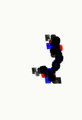 CC1=C(C(=O)NCCCN2CCN(CCN3CCN(CCCNC(=O)C4=C(C)N(c5cccc(C(F)(F)F)c5)C(=O)N[C@@H]4c4ccc(C#N)cc4)CC3)CC2)[C@@H](c2ccc(C#N)cc2)NC(=O)N1c1cccc(C(F)(F)F)c1